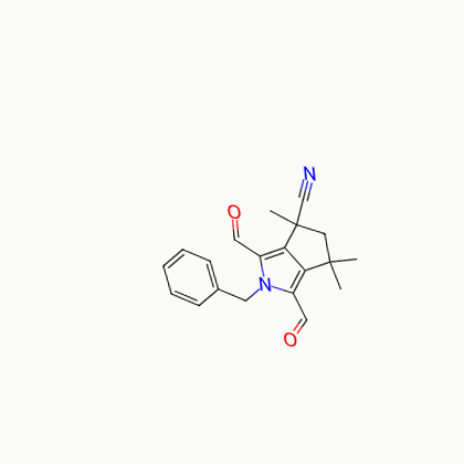 CC1(C)CC(C)(C#N)c2c1c(C=O)n(Cc1ccccc1)c2C=O